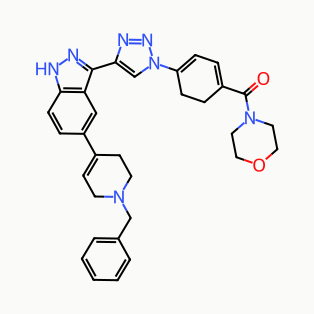 O=C(C1=CC=C(n2cc(-c3n[nH]c4ccc(C5=CCN(Cc6ccccc6)CC5)cc34)nn2)CC1)N1CCOCC1